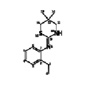 CCc1ccccc1/N=C1/NCC(C)(C)CS1